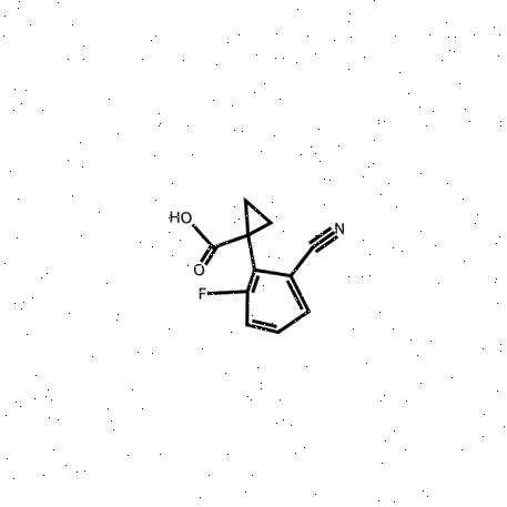 N#Cc1cccc(F)c1C1(C(=O)O)CC1